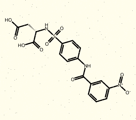 O=C(O)C[C@H](NS(=O)(=O)c1ccc(NC(=O)c2cccc([N+](=O)[O-])c2)cc1)C(=O)O